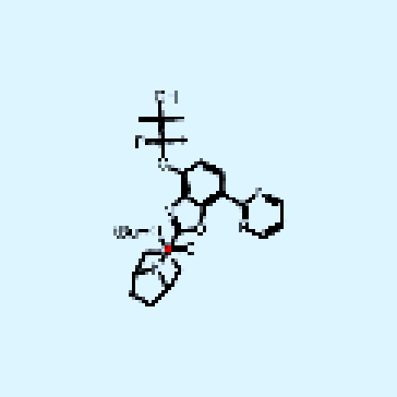 CC(C)(C)OC(=O)N1C2CCC1CN(c1nc3c(OC(F)(F)C(C)(C)O)ccc(-c4ncccn4)c3o1)C2